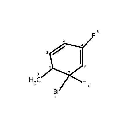 CC1C=CC(F)=CC1(F)Br